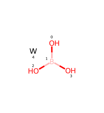 OB(O)O.[W]